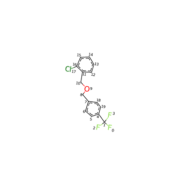 FC(F)(F)c1ccc(COCc2ccccc2Cl)cc1